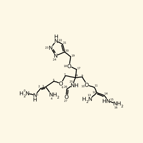 NN/C=C(\N)COCC(COC/C(N)=C/NN)(COCc1c[nH]nn1)NC=O